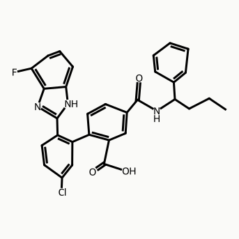 CCCC(NC(=O)c1ccc(-c2cc(Cl)ccc2-c2nc3c(F)cccc3[nH]2)c(C(=O)O)c1)c1ccccc1